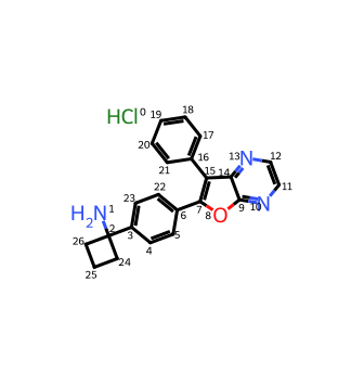 Cl.NC1(c2ccc(-c3oc4nccnc4c3-c3ccccc3)cc2)CCC1